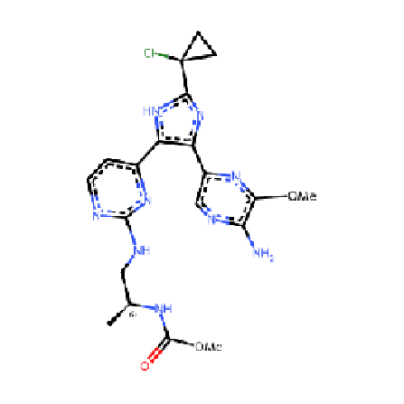 COC(=O)N[C@@H](C)CNc1nccc(-c2[nH]c(C3(Cl)CC3)nc2-c2cnc(N)c(OC)n2)n1